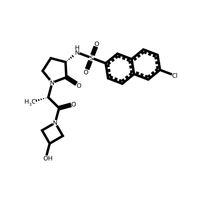 C[C@@H](C(=O)N1CC(O)C1)N1CC[C@H](NS(=O)(=O)c2ccc3cc(Cl)ccc3c2)C1=O